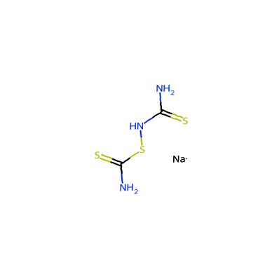 NC(=S)NSC(N)=S.[Na]